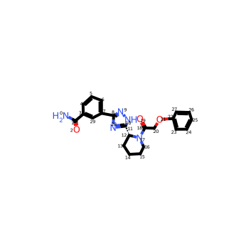 NC(=O)c1cccc(-c2n[nH]c([C@H]3CCCCN3C(=O)COc3ccccc3)n2)c1